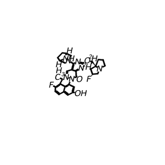 [2H]C([2H])(Oc1nc(N2C[C@H]3CC[C@@H](C2)N3)c2cnn(-c3cc(O)cc4ccc(F)c(CC)c34)c(=O)c2n1)[C@@]12CCCN1C[C@H](F)C2